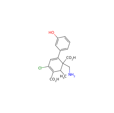 CC1C(C(=O)O)=C(Cl)C=C(c2cccc(O)c2)C1(CN)C(=O)O